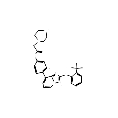 O=C(CN1CCOCC1)Nc1ccc(-c2cccn3nc(Nc4ccccc4C(F)(F)F)nc23)cc1